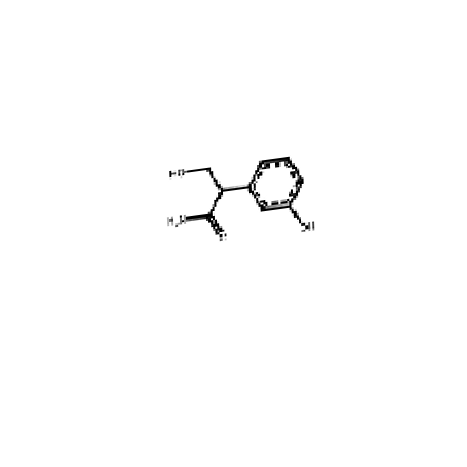 NC(=O)C(CO)c1cccc(O)c1